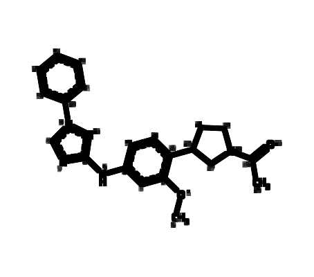 COc1cc(Nc2ncn(-c3ccccc3)n2)ccc1C1CCN(C(C)=O)C1